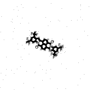 CC(F)(F)c1cc(C(C)(F)F)c2cc3c4ccc5c(=O)n6c7cc(C(F)(F)F)cc(C(F)(F)F)c7nc6c6ccc(c(=O)n3c2c1)c4c56